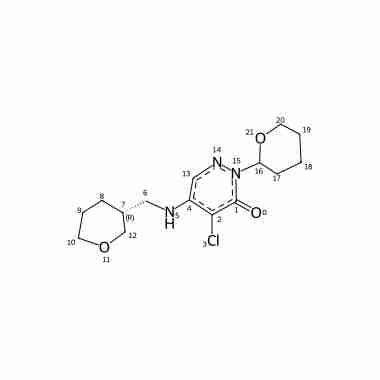 O=c1c(Cl)c(NC[C@H]2CCCOC2)cnn1C1CCCCO1